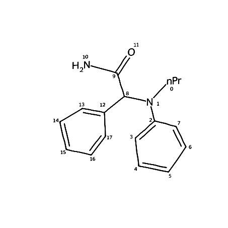 CCCN(c1ccccc1)C(C(N)=O)c1ccccc1